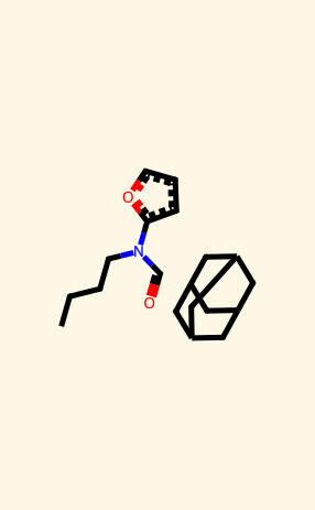 C1C2CC3CC1CC(C2)C3.CCCCN(C=O)c1ccco1